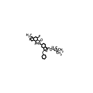 Cn1ncc2c(F)c(C(=O)Nc3ccc4c(c3)c(Cc3ccccc3)nn4COCC[Si](C)(C)C)c(F)cc21